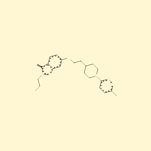 CCCn1oc2cc(OCCC3CCN(c4ccc(C)nn4)CC3)ccc2c1=O